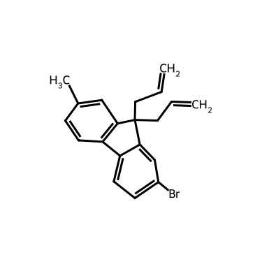 C=CCC1(CC=C)c2cc(C)ccc2-c2ccc(Br)cc21